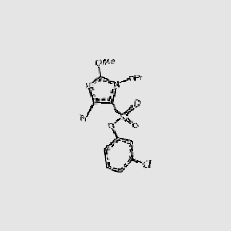 CCCn1c(OC)nc(C(C)C)c1S(=O)(=O)Oc1cccc(Cl)c1